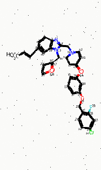 O=C(O)CCc1ccc2nc(CN3CCC(Oc4cccc(OCc5ccc(Cl)cc5F)c4)CC3)n(C[C@@H]3CCO3)c2c1